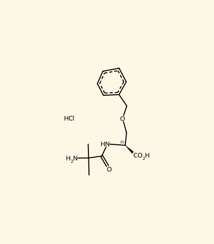 CC(C)(N)C(=O)N[C@@H](COCc1ccccc1)C(=O)O.Cl